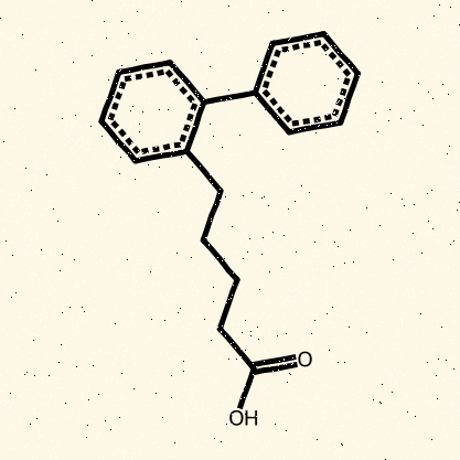 O=C(O)CCCCc1ccccc1-c1ccccc1